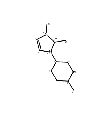 CC1CCC(N2C=CN(C)C2C)CC1